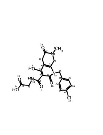 CN1Cc2c(c(O)c(C(=O)NCC(=O)O)c(=O)n2Cc2ccc(Cl)cc2)CC1=O